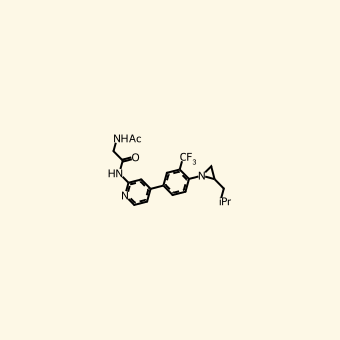 CC(=O)NCC(=O)Nc1cc(-c2ccc(N3CC3CC(C)C)c(C(F)(F)F)c2)ccn1